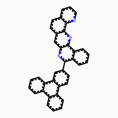 c1cnc2c(c1)ccc1cc3nc(-c4ccc5c6ccccc6c6ccccc6c5c4)c4ccccc4c3nc12